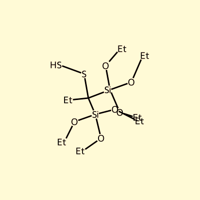 CCO[Si](OCC)(OCC)C(CC)(SS)[Si](OCC)(OCC)OCC